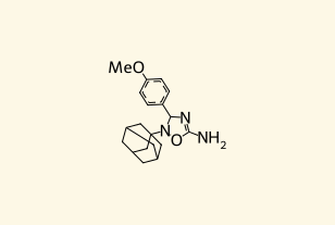 COc1ccc(C2N=C(N)ON2C23CC4CC(CC(C4)C2)C3)cc1